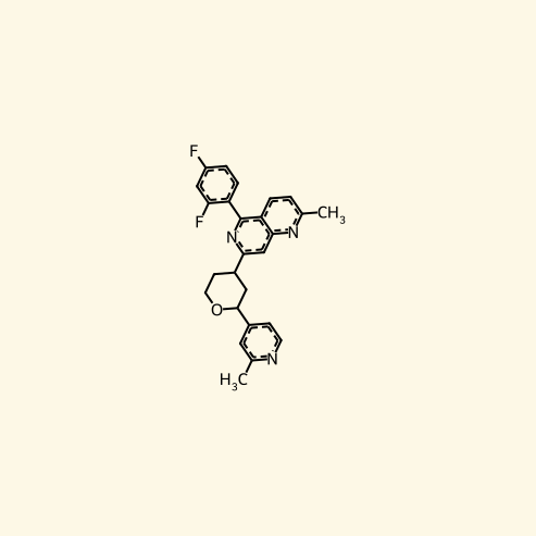 Cc1cc(C2CC(c3cc4nc(C)ccc4c(-c4ccc(F)cc4F)n3)CCO2)ccn1